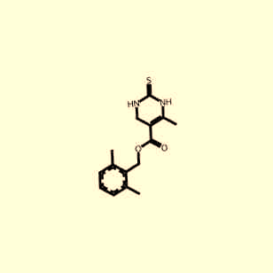 CC1=C(C(=O)OCc2c(C)cccc2C)CNC(=S)N1